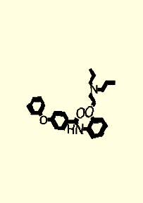 CCCN(CCC)CCOc1ccccc1NC(=O)c1ccc(Oc2ccccc2)cc1